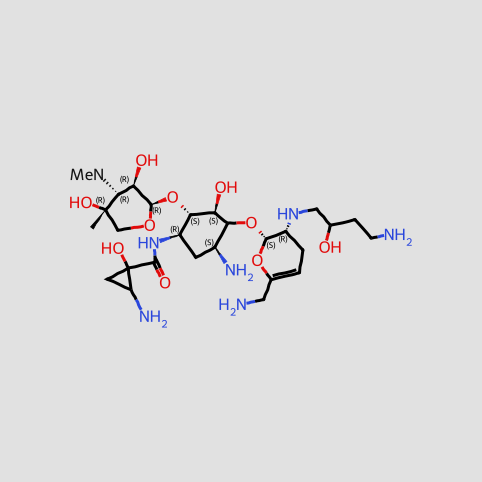 CN[C@@H]1[C@@H](O)[C@@H](O[C@H]2[C@H](NC(=O)C3(O)CC3N)C[C@H](N)C(O[C@H]3OC(CN)=CC[C@H]3NCC(O)CCN)[C@@H]2O)OC[C@]1(C)O